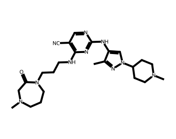 Cc1nn(C2CCN(C)CC2)cc1Nc1ncc(C#N)c(NCCCN2CCCN(C)CC2=O)n1